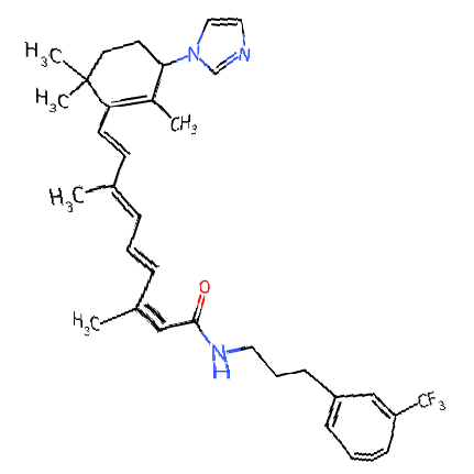 CC1=C(/C=C/C(C)=C/C=C/C(C)=C\C(=O)NCCCc2cccc(C(F)(F)F)c2)C(C)(C)CCC1n1ccnc1